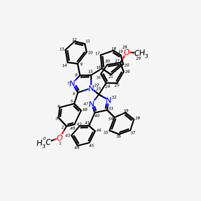 COc1ccc(-c2nc(-c3ccccc3)c(-c3ccccc3)n2C2(c3ccc(OC)cc3)N=C(c3ccccc3)C(c3ccccc3)=N2)cc1